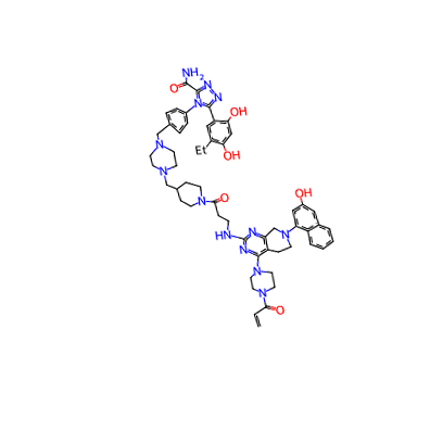 C=CC(=O)N1CCN(c2nc(NCCC(=O)N3CCC(CN4CCN(Cc5ccc(-n6c(C(N)=O)nnc6-c6cc(CC)c(O)cc6O)cc5)CC4)CC3)nc3c2CCN(c2cc(O)cc4ccccc24)C3)CC1